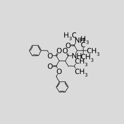 CNC(=O)C(NC(=O)C(CC(C)C)C(C(=O)OCc1ccccc1)C(=O)OCc1ccccc1)C(C)(C)C